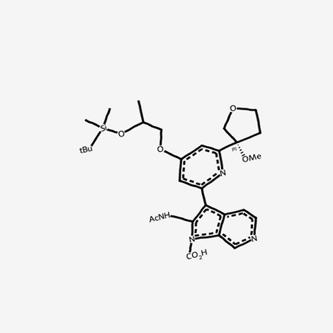 CO[C@@]1(c2cc(OCC(C)O[Si](C)(C)C(C)(C)C)cc(-c3c(NC(C)=O)n(C(=O)O)c4cnccc34)n2)CCOC1